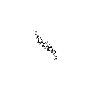 CCCCCC1CCC(C2CCC(c3ccc(OCCC)cc3)CC2)CC1